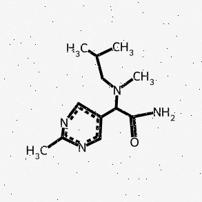 Cc1ncc(C(C(N)=O)N(C)CC(C)C)cn1